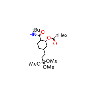 CCCCCCC(=O)OC1CC(CC[Si](OC)(OC)OC)CCC1C(=O)NC(C)(C)C